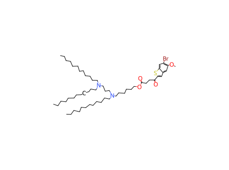 CCCCCCCCCCCCN(CCCCCCCCCCCC)CCCN(CCCCCCCCCCCC)CCCCCCOC(=O)CCC(=O)c1cc2cc(OC)c(Br)cc2s1